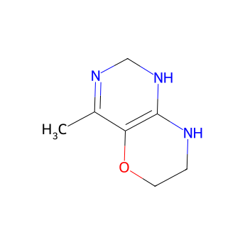 CC1=NCNC2=C1OCCN2